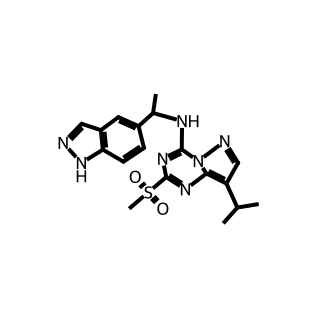 CC(C)c1cnn2c(NC(C)c3ccc4[nH]ncc4c3)nc(S(C)(=O)=O)nc12